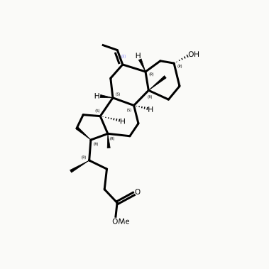 C/C=C1\C[C@@H]2[C@H](CC[C@]3(C)[C@@H]([C@H](C)CCC(=O)OC)CC[C@@H]23)[C@@]2(C)CC[C@@H](O)C[C@@H]12